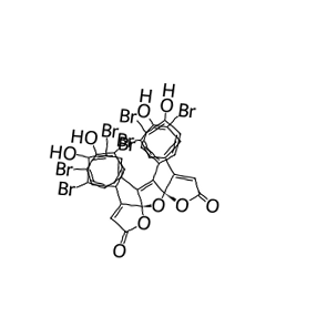 O=C1C=C(c2cc(Br)c(O)c(Br)c2)[C@]2(O1)O[C@]1(OC(=O)C=C1c1cc(Br)c(O)c(Br)c1)C(c1cc(Br)c(O)c(Br)c1)=C2c1ccc(O)c(Br)c1